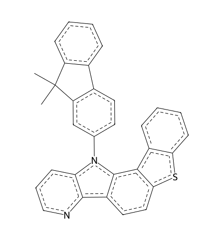 CC1(C)c2ccccc2-c2ccc(-n3c4cccnc4c4ccc5sc6ccccc6c5c43)cc21